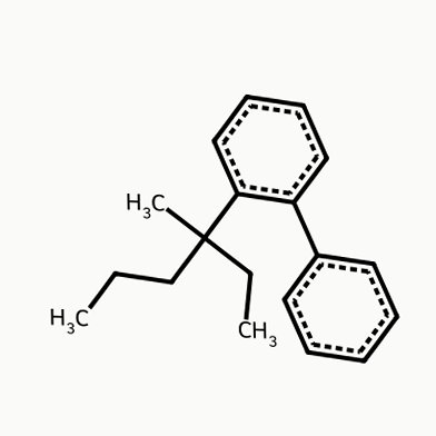 CCCC(C)(CC)c1ccccc1-c1ccccc1